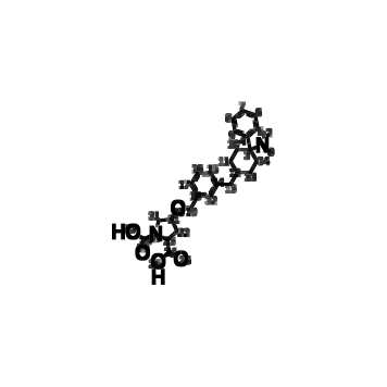 CN(C)C1(c2ccccc2)CCC(Cc2cccc(CO[C@H]3C[C@@H](C(=O)O)N(C(=O)O)C3)c2)CC1